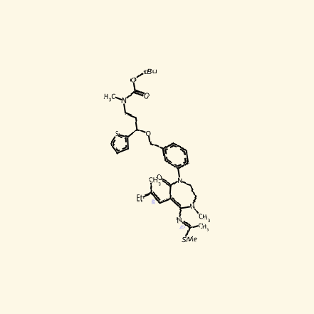 CC/C(C)=C/C1=C(/N=C(\C)SC)N(C)CCN(c2cccc(COC(CCN(C)C(=O)OC(C)(C)C)c3cccs3)c2)C1=O